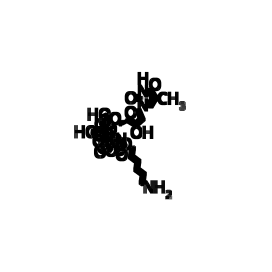 Cc1cn([C@H]2CC(O)[C@@H](COP(=O)(O)OP(=O)(O)OP(=O)(O)OP(=O)(O)OCCCCCCN)O2)c(=O)[nH]c1=O